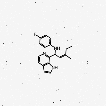 CCC(C)=CC(Nc1ccc(F)cc1)c1nccc2cc[nH]c12